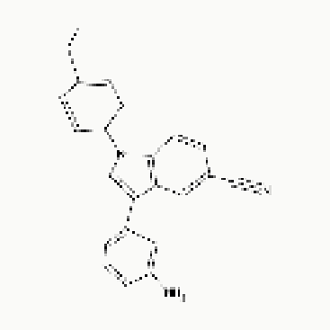 CCC1=CCC(n2cc(-c3cccc(N)c3)c3cc(C#N)ccc32)C=C1